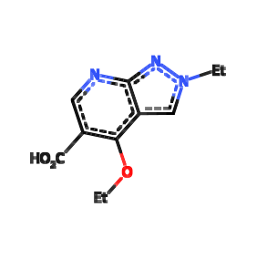 CCOc1c(C(=O)O)cnc2nn(CC)cc12